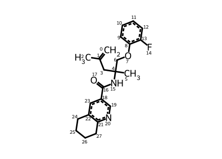 C=C(C)CC(C)(COc1ccccc1F)NC(=O)c1cnc2c(c1)CCCC2